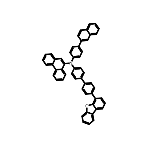 c1ccc2cc(-c3ccc(N(c4ccc(-c5ccc(-c6cccc7c6oc6ccccc67)cc5)cc4)c4cc5ccccc5c5ccccc45)cc3)ccc2c1